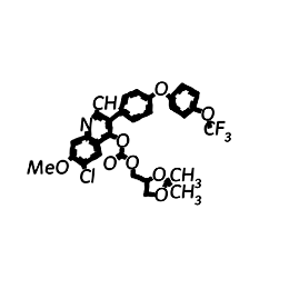 COc1cc2nc(C)c(-c3ccc(Oc4ccc(OC(F)(F)F)cc4)cc3)c(OC(=O)OCC3COC(C)(C)O3)c2cc1Cl